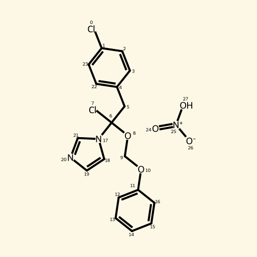 Clc1ccc(CC(Cl)(OCOc2ccccc2)n2ccnc2)cc1.O=[N+]([O-])O